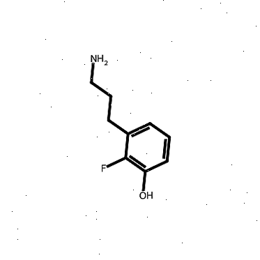 NCCCc1cccc(O)c1F